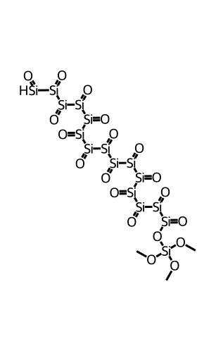 CO[Si](OC)(OC)O[Si](=O)[Si](=O)[Si](=O)[Si](=O)[Si](=O)[Si](=O)[Si](=O)[Si](=O)[Si](=O)[Si](=O)[Si](=O)[Si](=O)[Si](=O)[Si](=O)[SiH]=O